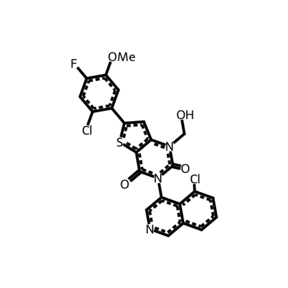 COc1cc(-c2cc3c(s2)c(=O)n(-c2cncc4cccc(Cl)c24)c(=O)n3CO)c(Cl)cc1F